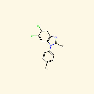 [CH2]Cc1ccc(-n2c(CC)nc3cc(Cl)c(Cl)cc32)cc1